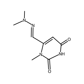 CN(C)/N=C/c1cc(=O)[nH]c(=O)n1C